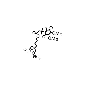 COC1=C(OC)C(=O)C(C(C)(C)CC(=O)OCCCCC(CO[N+](=O)[O-])O[N+](=O)[O-])=C(C)C1=O